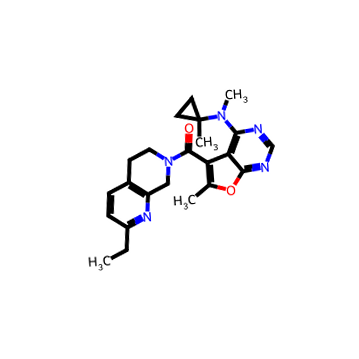 CCc1ccc2c(n1)CN(C(=O)c1c(C)oc3ncnc(N(C)C4(C)CC4)c13)CC2